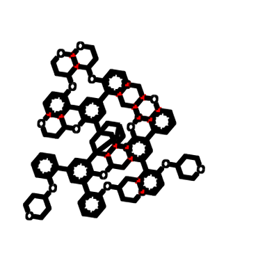 c1ccc(-c2cc(-c3ccccc3OC3CCOCC3)c(OC3CCOCC3)c(C34CC5CC(c6cc(-c7ccccc7OC7CCOCC7)cc(-c7ccccc7OC7CCOCC7)c6OC6CCOCC6)(C3)CC(c3cc(-c6ccccc6OC6CCOCC6)cc(-c6ccccc6OC6CCOCC6)c3OC3CCOCC3)(C5)C4)c2)c(OC2CCOCC2)c1